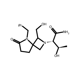 CC(C)CN1C(=O)CCC12CN([C@H](C(N)=O)[C@@H](C)O)C2CO